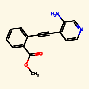 COC(=O)c1ccccc1C#Cc1ccncc1N